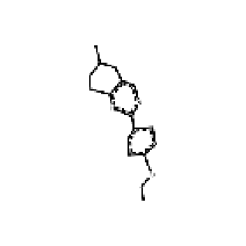 CCOc1ccc(-c2ncc3c(n2)CCC(C)C3)cc1